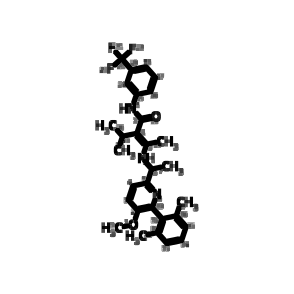 COc1ccc(C(C)N/C(C)=C(/C(=O)Nc2cccc(C(F)(F)F)c2)C(C)C)nc1-c1c(C)cccc1C